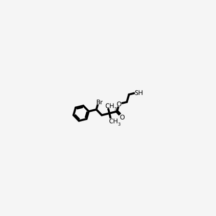 CC(C)(CC(Br)c1ccccc1)C(=O)OCCS